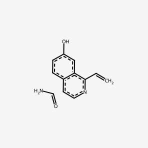 C=Cc1nccc2ccc(O)cc12.NC=O